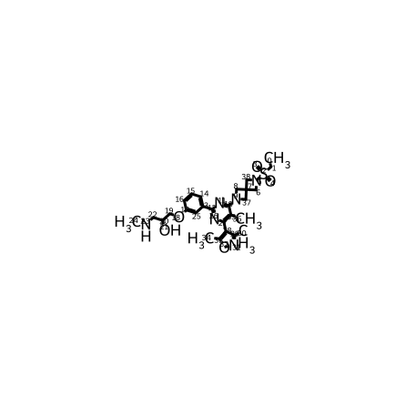 CCS(=O)(=O)N1CC2(CN(c3nc(-c4cccc(OCC(O)CNC)c4)nc(-c4c(C)noc4C)c3C)C2)C1